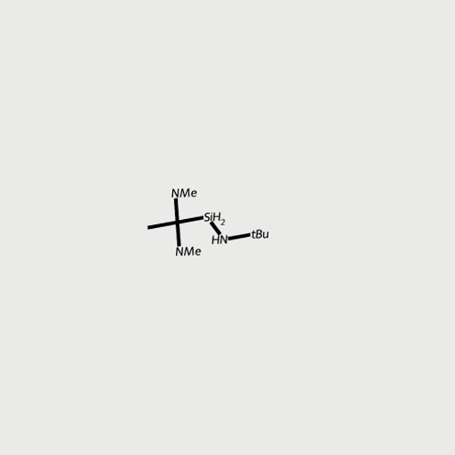 CNC(C)(NC)[SiH2]NC(C)(C)C